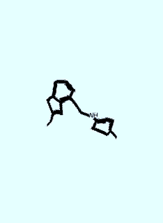 CC1=Cc2c(CNc3ccc(C)cc3)cccc2C1